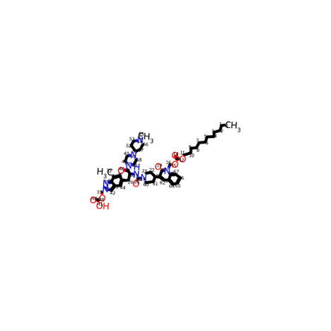 CCCCCCCCCCCCOC(=O)OCn1c(=O)c(C2CCN(C(=O)NC(Cc3cc(C)c4nn(COC(=O)O)cc4c3)C(=O)N3CCN(C4CCN(C)CC4)CC3)CC2)cc2ccccc21